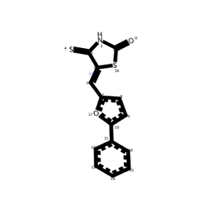 O=C1NC(=S)/C(=C/c2ccc(-c3ccccc3)o2)S1